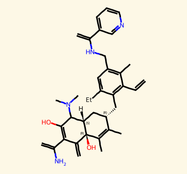 C=Cc1c(C)c(CNC(=C)c2cccnc2)cc(CC)c1C[C@H]1C[C@H]2C(N(C)C)C(O)=C(C(=C)N)C(=C)[C@@]2(O)C(C)=C1C